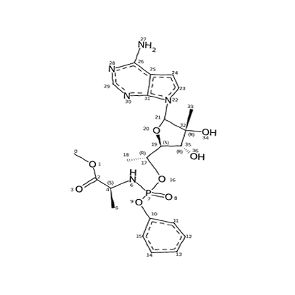 COC(=O)[C@H](C)NP(=O)(Oc1ccccc1)O[C@H](C)[C@H]1OC(n2ccc3c(N)ncnc32)[C@](C)(O)[C@@H]1O